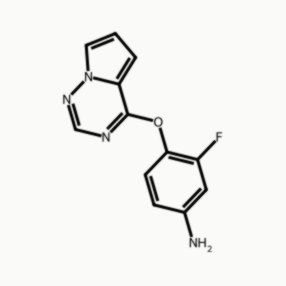 Nc1ccc(Oc2ncnn3cccc23)c(F)c1